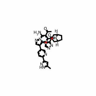 CC(=O)c1c(C2C[C@H]3CC[C@@H](C2)N3C(=O)c2nnc[nH]2)nc2c(-c3ccc(-c4cc(C)[nH]n4)nc3)cnn2c1N